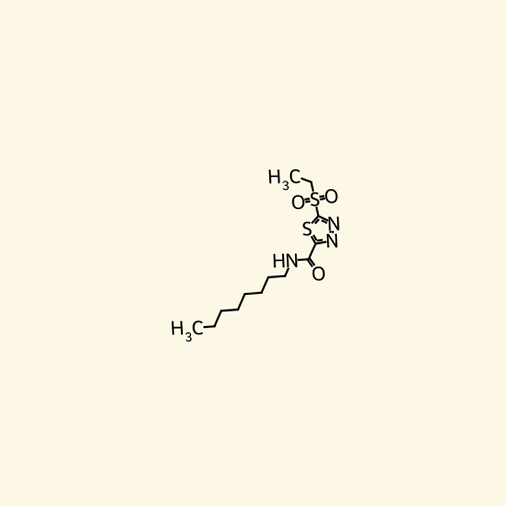 CCCCCCCCNC(=O)c1nnc(S(=O)(=O)CC)s1